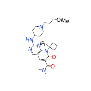 COCCCN1CCC(Nc2ncc3cc(C(=O)N(C)C)c(=O)n(C4(C(C)C)CCC4)c3n2)CC1